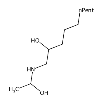 CCCCCCCCC(O)CNC(C)O